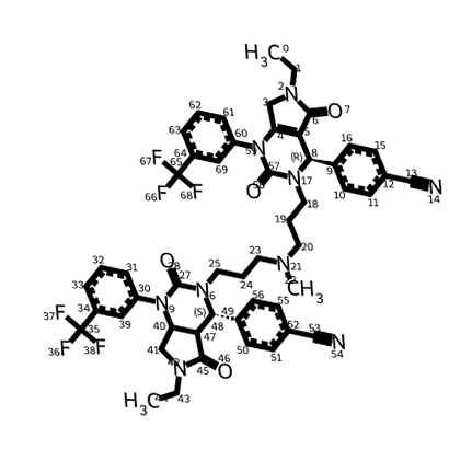 CCN1CC2=C(C1=O)[C@@H](c1ccc(C#N)cc1)N(CCCN(C)CCCN1C(=O)N(c3cccc(C(F)(F)F)c3)C3CN(CC)C(=O)C3[C@H]1c1ccc(C#N)cc1)C(=O)N2c1cccc(C(F)(F)F)c1